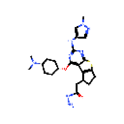 Cn1cc(Nc2nc(O[C@H]3CC[C@H](N(C)C)CC3)c3c4c(sc3n2)CCC4CC(=O)NN)cn1